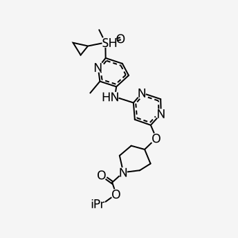 Cc1nc([SH](C)(=O)C2CC2)ccc1Nc1cc(OC2CCN(C(=O)OC(C)C)CC2)ncn1